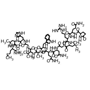 CSCCC(NC(=O)C(CC(C)C)NC(=O)C(Cc1cnc[nH]1)NC(=O)CNC(=O)C(NC(=O)C(C)NC(=O)C(Cc1c[nH]c2ccccc12)NC(=O)C(CCC(N)=O)NC(=O)C(CC(N)=O)NC(=O)CNC(=O)C(CC(C)C)NC(=O)C(CCCNC(=N)N)NC(=O)C(CCC(N)=O)NC(=O)C1CCC(=O)N1)C(C)C)C(N)=O